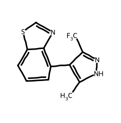 Cc1[nH]nc(C(F)(F)F)c1-c1cccc2scnc12